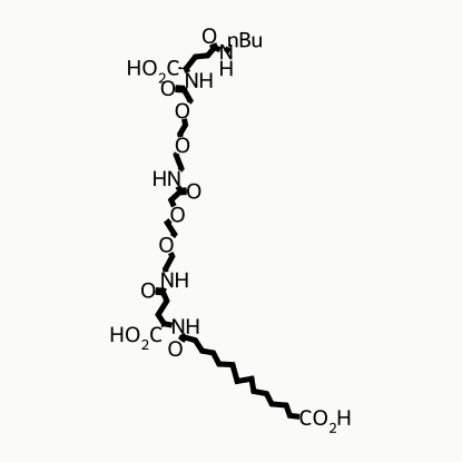 CCCCNC(=O)CC[C@H](NC(=O)COCCOCCNC(=O)COCCOCCNC(=O)CC[C@H](NC(=O)CCCCCCCCCCCCC(=O)O)C(=O)O)C(=O)O